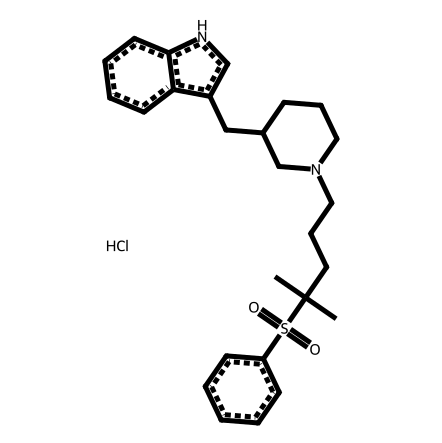 CC(C)(CCCN1CCCC(Cc2c[nH]c3ccccc23)C1)S(=O)(=O)c1ccccc1.Cl